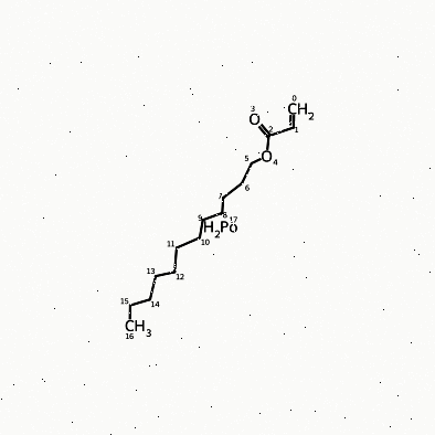 C=CC(=O)OCCCCCCCCCCCC.[PoH2]